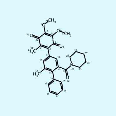 COC1=C(OC)C(=O)C(c2cc(C)c(-c3ccccc3)c(C(=O)N3CCCCC3)c2)=C(C)C1=O